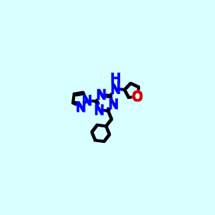 c1cnn(-c2nc(CC3CCCCC3)nc(NC3CCOC3)n2)c1